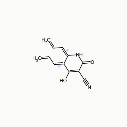 C=C/C=c1/[nH]c(=O)c(C#N)c(O)/c1=C/C=C